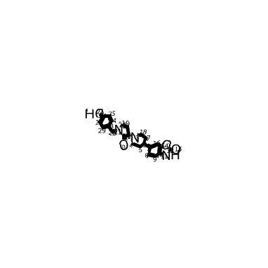 O=C1[C@@H](N2CCC(c3ccc4[nH]c(=O)oc4c3)CC2)CCN1Cc1ccc(O)cc1